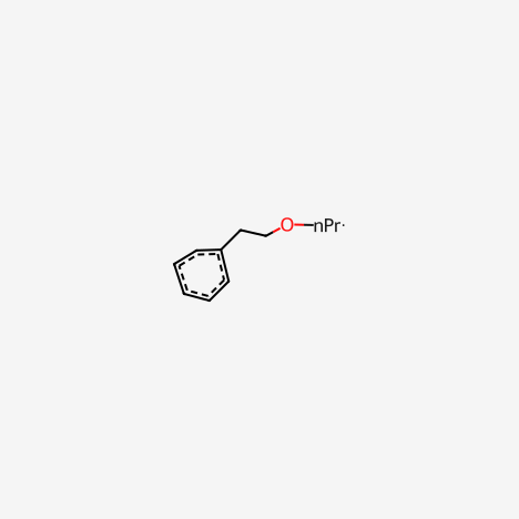 CC[CH]OCCc1ccccc1